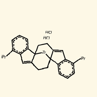 CC(C)c1cccc2c1C=C1CC[C]34[Zr][C]12CCC3=Cc1c(C(C)C)cccc14.Cl.Cl